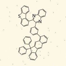 c1ccc(C2(c3ccccc3)c3ccccc3-c3cc4cccc(-c5cccc(-c6nc7ccccc7nc6-c6cccc7sc8ccccc8c67)c5)c4cc32)cc1